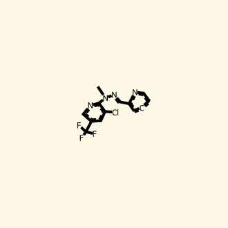 CN(N=Cc1ccccn1)c1ncc(C(F)(F)F)cc1Cl